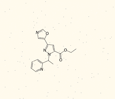 CCOC(=O)c1cc(-c2cnco2)nn1C(C)c1ccccn1